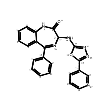 O=C1Nc2ccccc2C(c2ccccc2)=N[C@@H]1Nc1nnc(-c2cccnc2)o1